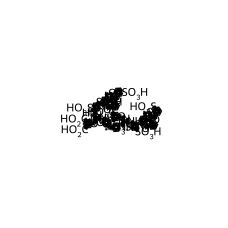 Cn1c(=O)c(C(=O)c2cccc(S(=O)(=O)O)c2)c2c3c(c(Nc4cc(Nc5nc(NC6CCC(CC7CCC(Nc8nc(Nc9cc(Nc%10ccc%11c%12c%10C(=O)c%10ccccc%10-c%12c(C(=O)c%10cccc(S(=O)(=O)O)c%10)c(=O)n%11C)c(S(=O)(=O)O)cc9S(=O)(=O)O)nc(Oc9cc(C(=O)O)cc(C(=O)O)c9)n8)CC7)CC6)nc(Oc6cc(C(=O)O)cc(C(=O)O)c6)n5)c(S(=O)(=O)O)cc4S(=O)(=O)O)ccc31)C(=O)c1ccccc1-2